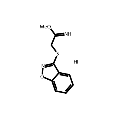 COC(=N)CSc1noc2ccccc12.I